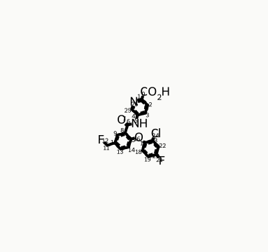 O=C(O)c1ccc(NC(=O)c2cc(CF)ccc2Oc2ccc(F)cc2Cl)cn1